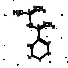 C=C(C)OC(=C)C1=CCCCS1